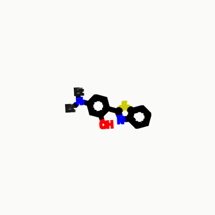 CCN(CC)c1ccc(-c2nc3ccccc3s2)c(O)c1